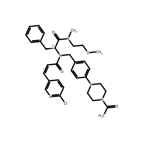 COCCN(C)C(=O)[C@H](Cc1ccccc1)N(Cc1ccc(N2CCN(C(C)=O)CC2)cc1)C(=O)/C=C\c1ccc(Cl)nc1